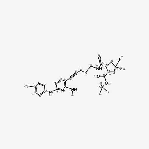 CNc1nc(Nc2ccc(F)cc2)ncc1C#CCCCNC(=O)[C@@H]1CC(F)(F)CN1C(=O)OC(C)(C)C